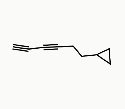 C#CC#CCCC1[CH]C1